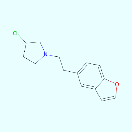 ClC1CCN(CCc2ccc3occc3c2)C1